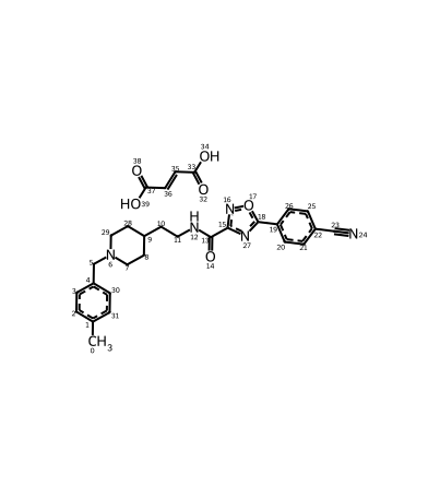 Cc1ccc(CN2CCC(CCNC(=O)c3noc(-c4ccc(C#N)cc4)n3)CC2)cc1.O=C(O)C=CC(=O)O